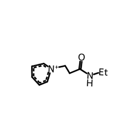 CCNC(=O)CC[n+]1ccccc1